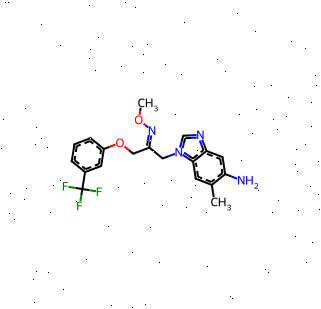 CON=C(COc1cccc(C(F)(F)F)c1)Cn1cnc2cc(N)c(C)cc21